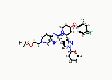 COCCN1CCc2nc(N3CCC(Oc4ccc(F)cc4F)CC3)c(-c3cnn(C4CCCCO4)c3)nc2C1